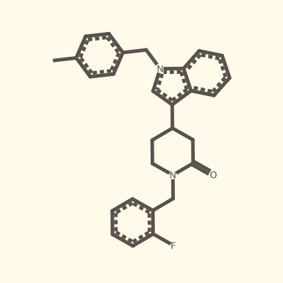 Cc1ccc(Cn2cc(C3CCN(Cc4ccccc4F)C(=O)C3)c3ccccc32)cc1